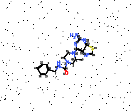 C[C@H]1CN(C(=O)NCc2ccccc2)CCN1c1nc(N)nc2scnc12